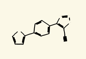 N#Cc1[nH]nnc1-c1ccc(-c2ccco2)cc1